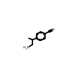 CC(CN)c1ccc(C#N)cc1